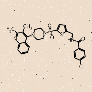 Cc1c(C(F)(F)F)nc2ccccc2c1N1CCN(S(=O)(=O)c2ccc(CNC(=O)c3ccc(Cl)cc3)s2)CC1